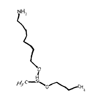 CCCO[SiH](C)OCCCCCN